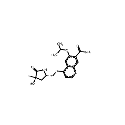 CC(C)Oc1cc2c(OC[C@@H]3C[C@](O)(F)C(=O)N3)ccnc2cc1C(N)=O